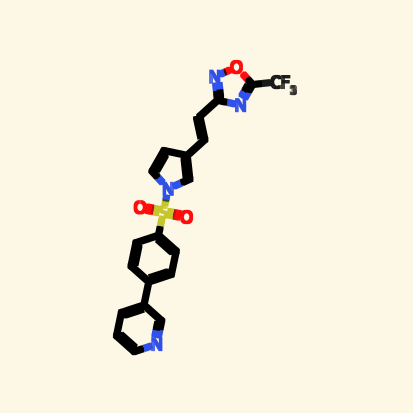 O=S(=O)(c1ccc(-c2cccnc2)cc1)n1ccc(/C=C/c2noc(C(F)(F)F)n2)c1